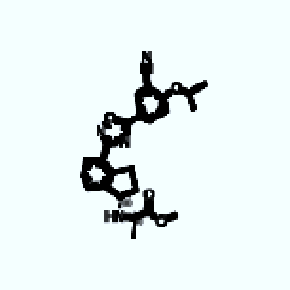 COC(=O)[C@@H](C)N[C@H]1CCc2c(-c3noc(-c4ccc(OC(C)C)c(C#N)c4)n3)cccc21